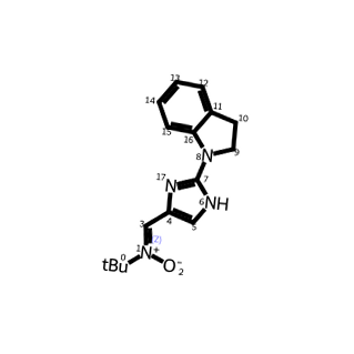 CC(C)(C)/[N+]([O-])=C/c1c[nH]c(N2CCc3ccccc32)n1